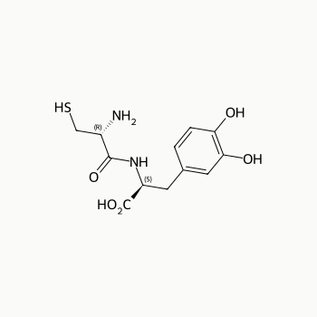 N[C@@H](CS)C(=O)N[C@@H](Cc1ccc(O)c(O)c1)C(=O)O